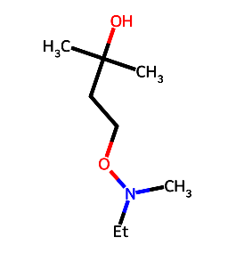 CCN(C)OCCC(C)(C)O